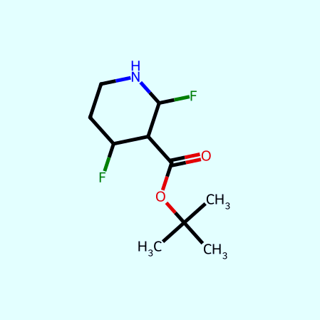 CC(C)(C)OC(=O)C1C(F)CCNC1F